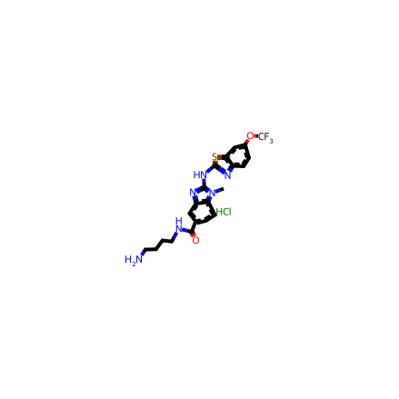 Cl.Cn1c(Nc2nc3ccc(OC(F)(F)F)cc3s2)nc2cc(C(=O)NCCCCN)ccc21